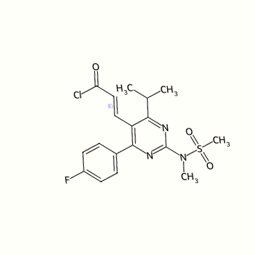 CC(C)c1nc(N(C)S(C)(=O)=O)nc(-c2ccc(F)cc2)c1/C=C/C(=O)Cl